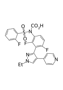 CCn1cc(-c2ccncc2)c(-c2c(F)ccc(N(C(=O)O)S(=O)(=O)c3ccccc3F)c2F)n1